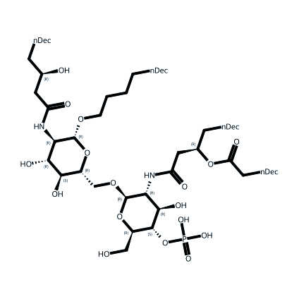 CCCCCCCCCCCCCCO[C@@H]1O[C@H](CO[C@@H]2O[C@H](CO)[C@@H](OP(=O)(O)O)[C@H](O)[C@H]2NC(=O)C[C@@H](CCCCCCCCCCC)OC(=O)CCCCCCCCCCC)[C@@H](O)[C@H](O)[C@H]1NC(=O)C[C@H](O)CCCCCCCCCCC